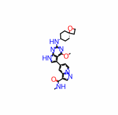 CNC(=O)c1cnn2ccc(-c3c[nH]c4nc(N[C@H]5CC[C@]6(CCO6)CC5)nc(OC)c34)cc12